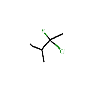 CC(C)C(C)(F)Cl